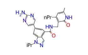 CCCc1cc(C)[nH]c(=O)c1CNC(=O)c1cc(-c2cnc(N)nc2)cc2c1cnn2C(C)C